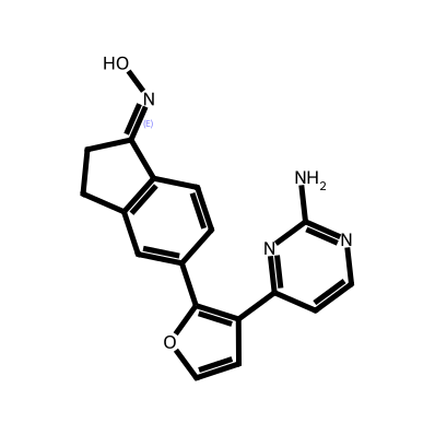 Nc1nccc(-c2ccoc2-c2ccc3c(c2)CC/C3=N\O)n1